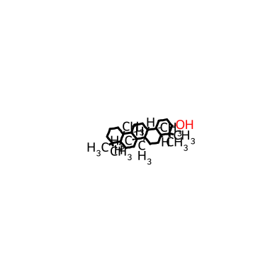 CC1(C)CCC[C@]2(C)[C@H]3CC[C@@H]4[C@@]5(C)CC[C@H](O)C(C)(C)[C@@H]5CC[C@@]4(C)[C@]3(C)CC[C@@H]12